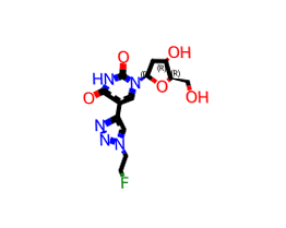 O=c1[nH]c(=O)n([C@H]2C[C@@H](O)[C@@H](CO)O2)cc1-c1cn(CCF)nn1